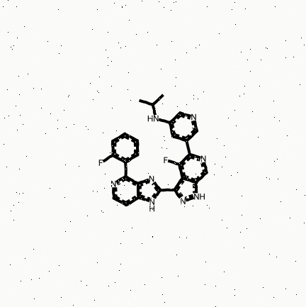 CC(C)Nc1cncc(-c2ncc3[nH]nc(-c4nc5c(-c6ccccc6F)nccc5[nH]4)c3c2F)c1